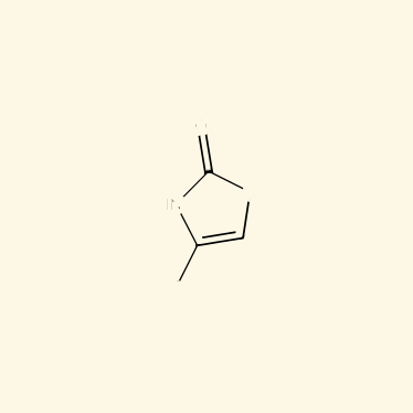 O=c1[nH]c(I)cs1